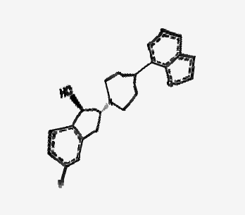 O[C@@H]1c2ccc(F)cc2C[C@H]1N1CCC(c2cccc3ccoc23)CC1